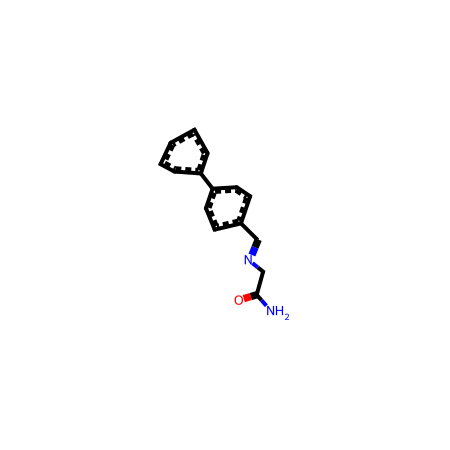 NC(=O)C/N=C/c1ccc(-c2ccccc2)cc1